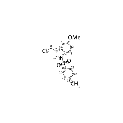 COc1ccc2c(c1)c(CCl)cn2S(=O)(=O)c1ccc(C)cc1